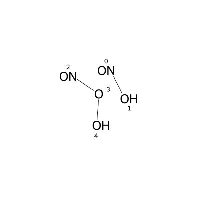 O=NO.O=NOO